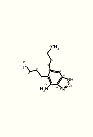 CCCCc1cc2[nH]nnc2c(N)c1CCCC